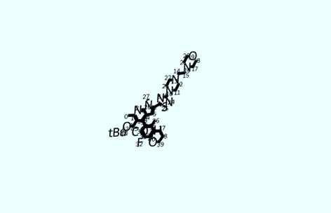 Cc1nc2c(cc(-c3nc(N4CCN(CCN5CCOCC5)CC4)ns3)n2C)c(-c2cc(F)c3c(c2C)CCCO3)c1[C@H](OC(C)(C)C)C(=O)O